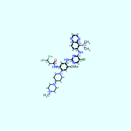 COc1cc(N2CCC(N3CCN(C)CC3)CC2)c(NC(=O)CC(F)F)cc1Nc1ncc(Br)c(Nc2ccc3nccnc3c2P(C)C)n1